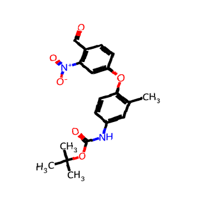 Cc1cc(NC(=O)OC(C)(C)C)ccc1Oc1ccc(C=O)c([N+](=O)[O-])c1